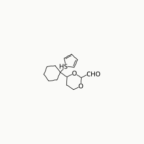 O=CC1OCCC(C2([SH]3C=CC=C3)CCCCC2)O1